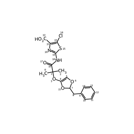 CC(C)(OC1=COC(Cc2ccccc2)O1)C(=O)Nc1nc(C(=O)O)c(Cl)s1